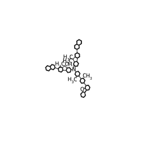 Cc1cc(-c2cccc3c2oc2ccccc23)ccc1-c1ccc(N(c2ccc3c(c2)C(C)(C)c2cc(-c4ccc5ccccc5c4)ccc2-3)c2ccc3c(c2)C(C)(C)c2cc(-c4ccc5ccccc5c4)ccc2-3)cc1C